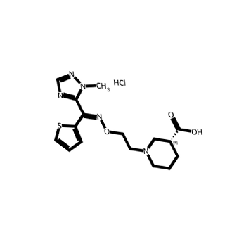 Cl.Cn1ncnc1C(=NOCCN1CCC[C@@H](C(=O)O)C1)c1cccs1